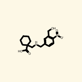 O=C(O)C1(CNCc2ccc([N+](=O)[O-])c(CO)c2)CCCCC1